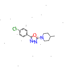 CC1CCN(c2nnc(-c3ccc(Cl)cc3)o2)CC1